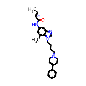 C/C=C/C(=O)Nc1cc(C)c2c(c1)ncn2CCCCN1CC=C(c2ccccc2)CC1